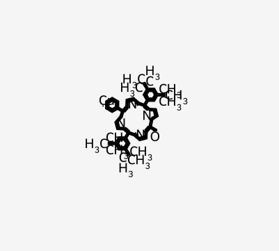 CC(C)(C)c1cc(C2=C3C=CC(=N3)C(C=O)=C3C=CC(=N3)C(c3cc(C(C)(C)C)cc(C(C)(C)C)c3)=C3C=CC(=N3)C(c3ccccc3)=C3C=CC2=N3)cc(C(C)(C)C)c1.[Cu]